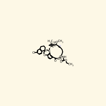 CCOC(=O)N[S@@]1(=O)=NC(=O)c2ccc3c(c2)N(C[C@@]2(CCCc4cc(Cl)ccc42)CO3)C[C@]23C[C@@]2(C)[C@H]3[C@@H](OC)/C=C/CCC1